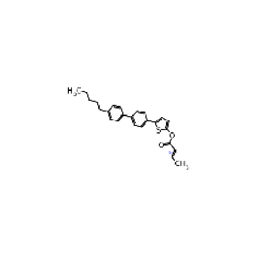 C/C=C/C(=O)Oc1ccc(-c2ccc(-c3ccc(CCCCC)cc3)cc2)s1